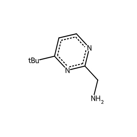 CC(C)(C)c1ccnc(CN)n1